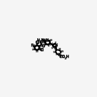 CC(Oc1cc(-c2cnn(C3CCN(C(=O)O)CC3)c2)cnc1N)c1c(Cl)ccc(F)c1Cl